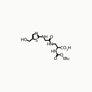 CC(C)(C)OC(=O)NC(CNC(=O)CNc1ncc(CO)s1)C(=O)O